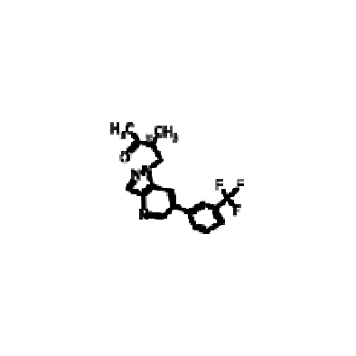 CC(=O)[C@@H](C)Cn1ncc2ncc(-c3cccc(C(F)(F)F)c3)cc21